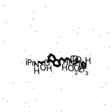 CC(C)NCC(O)COc1cccc2c(CCCC(N[C@@H](C)C(=O)N3CCC[C@H]3C(=O)O)C(=O)O)cccc12